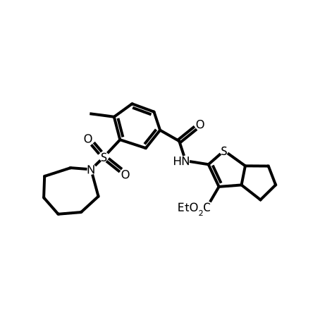 CCOC(=O)C1=C(NC(=O)c2ccc(C)c(S(=O)(=O)N3CCCCCC3)c2)SC2CCCC12